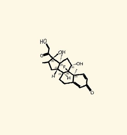 CC1C[C@H]2[C@@H]3CCC4=CC(=O)C=C[C@]4(C)[C@@]3(F)[C@@H](O)C[C@]2(C)[C@@]1(O)C(=O)CO